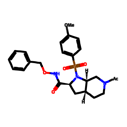 COc1ccc(S(=O)(=O)N2[C@H](C(=O)NOCc3ccccc3)C[C@@H]3CCN(C(C)=O)C[C@@H]32)cc1